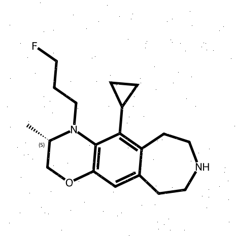 C[C@H]1COc2cc3c(c(C4CC4)c2N1CCCF)CCNCC3